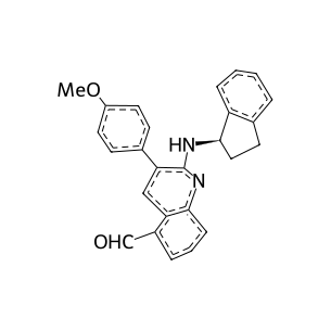 COc1ccc(-c2cc3c(C=O)cccc3nc2N[C@@H]2CCc3ccccc32)cc1